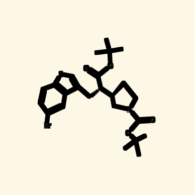 CC(C)(C)OC(=O)[C@@H](Cc1csc2ccc(Br)cc12)[C@H]1CCN(C(=O)OC(C)(C)C)C1